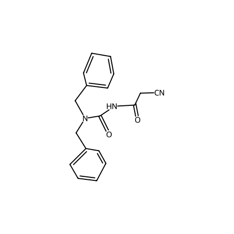 N#CCC(=O)NC(=O)N(Cc1ccccc1)Cc1ccccc1